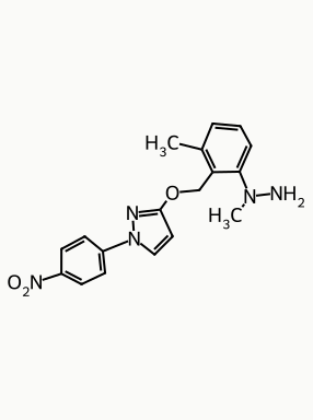 Cc1cccc(N(C)N)c1COc1ccn(-c2ccc([N+](=O)[O-])cc2)n1